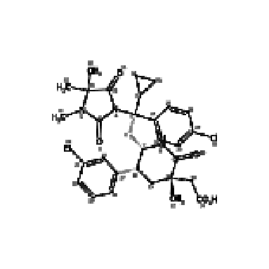 CN1C(=O)N([C@](C[C@@H]2NC(=O)[C@](C)(CC(=O)O)C[C@@H]2c2cccc(Cl)c2)(c2ccc(Cl)cc2)C2CC2)C(=O)C1(C)C